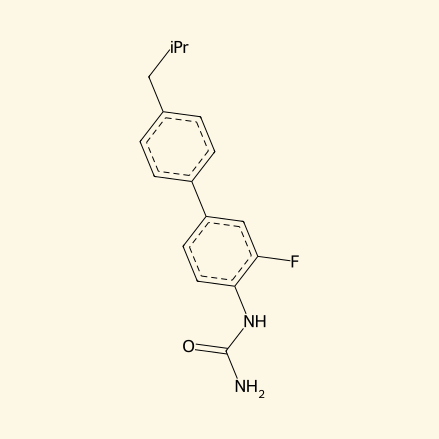 CC(C)Cc1ccc(-c2ccc(NC(N)=O)c(F)c2)cc1